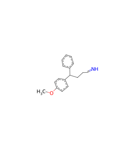 COc1ccc(C(CCC=N)c2ccccc2)cc1